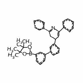 CC1(C)OB(c2cccc(-c3cccc(C4C=C(c5ccccc5)N=C(c5ccccc5)C4)c3)c2)OC1(C)C